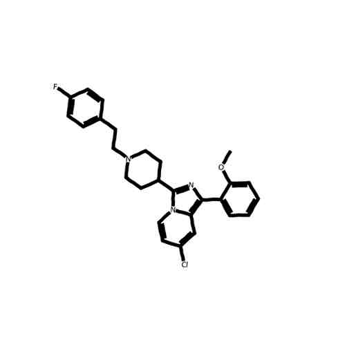 COc1ccccc1-c1nc(C2CCN(CCc3ccc(F)cc3)CC2)n2ccc(Cl)cc12